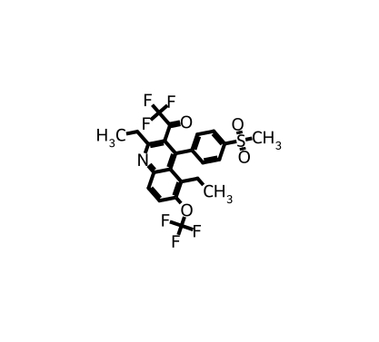 CCc1nc2ccc(OC(F)(F)F)c(CC)c2c(-c2ccc(S(C)(=O)=O)cc2)c1C(=O)C(F)(F)F